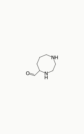 O=CC1CCCNCCN1